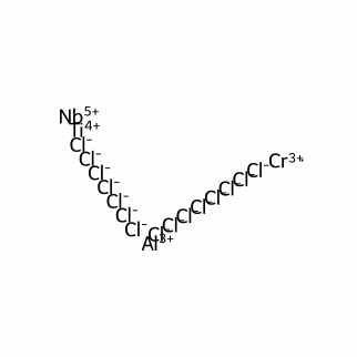 [Al+3].[Cl-].[Cl-].[Cl-].[Cl-].[Cl-].[Cl-].[Cl-].[Cl-].[Cl-].[Cl-].[Cl-].[Cl-].[Cl-].[Cl-].[Cl-].[Cr+3].[Nb+5].[Ti+4]